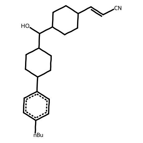 CCCCc1ccc(C2CCC(C(O)C3CCC(C=CC#N)CC3)CC2)cc1